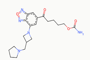 NC(=O)OCCCCC(=O)c1cc(N2CC(CN3CCCC3)C2)c2nonc2c1